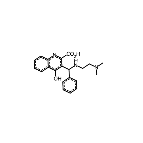 CN(C)CCNC(c1ccccc1)c1c(C(=O)O)nc2ccccc2c1O